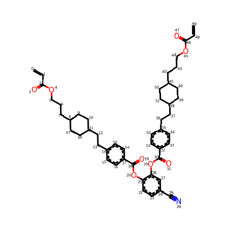 C=CC(=O)OCCCC1CCC(CCc2ccc(C(=O)Oc3ccc(C#N)cc3OC(=O)c3ccc(CCC4CCC(CCCOC(=O)C=C)CC4)cc3)cc2)CC1